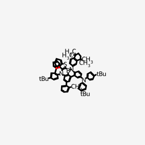 Cc1ccccc1-c1cc2c3c(c1)N(c1ccc(C(C)(C)C)cc1-c1ccccc1)c1c(sc4ccccc14)B3N(c1ccc3c(c1)C(C)(C)CCC3(C)C)c1ccc(N(c3ccc(C(C)(C)C)cc3)c3ccc(C(C)(C)C)cc3)cc1-2